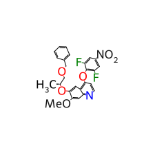 COc1cc2nccc(Oc3c(F)cc([N+](=O)[O-])cc3F)c2cc1O[C@@H](C)COCc1ccccc1